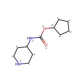 O=C(NC1CCNCC1)OC1CCCC1